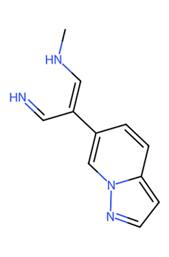 CN/C=C(\C=N)c1ccc2ccnn2c1